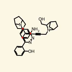 Nc1nnc(-c2ccccc2O)cc1N1CC2CCC(C1)N2c1cccc(C#CCN2C3CCC(C3)C2CO)c1